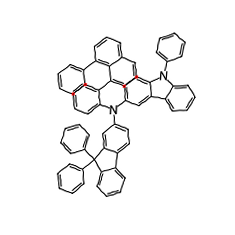 c1ccc(-c2cccc3cccc(-c4ccccc4N(c4ccc5c(c4)C(c4ccccc4)(c4ccccc4)c4ccccc4-5)c4ccc5c(c4)c4ccccc4n5-c4ccccc4)c23)cc1